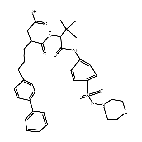 CC(C)(C)C(NC(=O)C(CCCc1ccc(-c2ccccc2)cc1)CC(=O)O)C(=O)Nc1ccc(S(=O)(=O)NN2CCOCC2)cc1